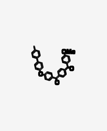 COc1ccc(C(=O)c2ccc(C(=O)c3ccc(Oc4ccc(-c5ccc(C)cc5)cc4)cc3)cc2)cc1